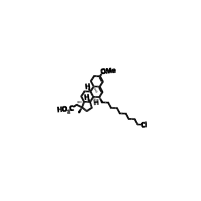 COC1=CC2=C[C@@H](CCCCCCCCCCl)[C@@H]3[C@H](CC[C@@]4(C)[C@H]3CC[C@]4(C)CC(=O)O)[C@@]2(C)CC1